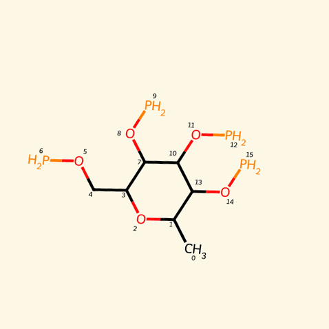 CC1OC(COP)C(OP)C(OP)C1OP